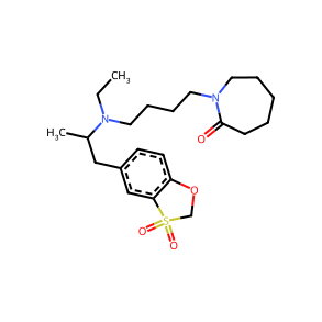 CCN(CCCCN1CCCCCC1=O)C(C)Cc1ccc2c(c1)S(=O)(=O)CO2